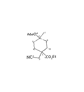 CCOC(=O)C1(CC#N)CCC(C)(OC)CC1